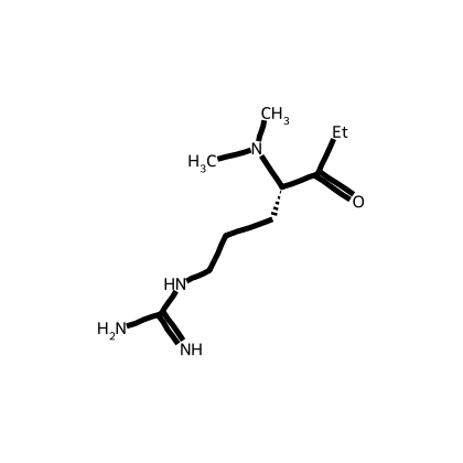 CCC(=O)[C@H](CCCNC(=N)N)N(C)C